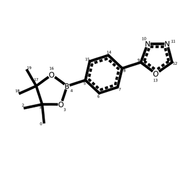 CC1(C)OB(c2ccc(-c3nnco3)cc2)OC1(C)C